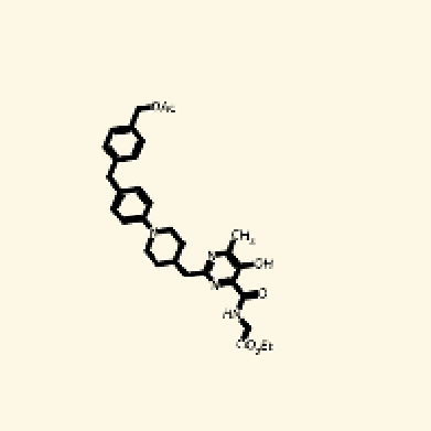 CCOC(=O)CNC(=O)c1nc(CC2CCN(c3ccc(Cc4ccc(COC(C)=O)cc4)cc3)CC2)nc(C)c1O